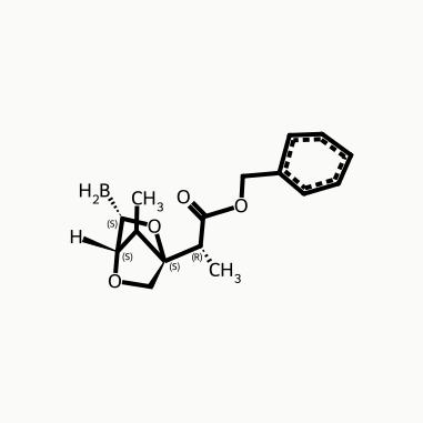 B[C@@H]1O[C@@]2([C@@H](C)C(=O)OCc3ccccc3)CO[C@H]1C2C